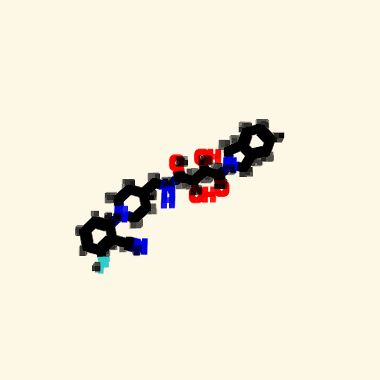 N#Cc1c(F)cccc1N1CCC(CNC(=O)[C@H](O)C(O)C(=O)N2Cc3ccccc3C2)CC1